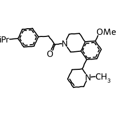 COc1ccc(C2CC=CCN2C)c2c1CCN(C(=O)Cc1ccc(C(C)C)cc1)C2